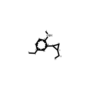 CCc1ccc(NC)c(C2CC2CC)c1